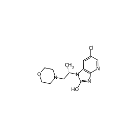 C[C@@H](CN1CCOCC1)n1c(O)nc2ncc(Cl)cc21